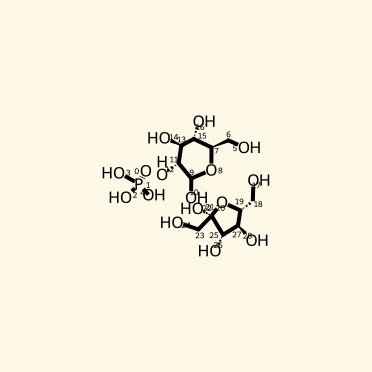 O=P(O)(O)O.OC[C@H]1OC(O)[C@H](O)[C@@H](O)[C@@H]1O.OC[C@H]1O[C@](O)(CO)[C@@H](O)[C@@H]1O